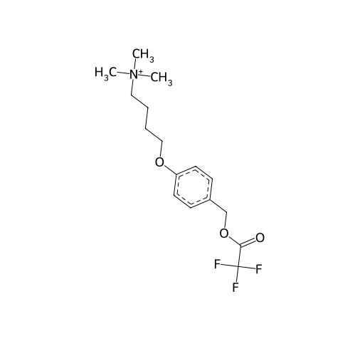 C[N+](C)(C)CCCCOc1ccc(COC(=O)C(F)(F)F)cc1